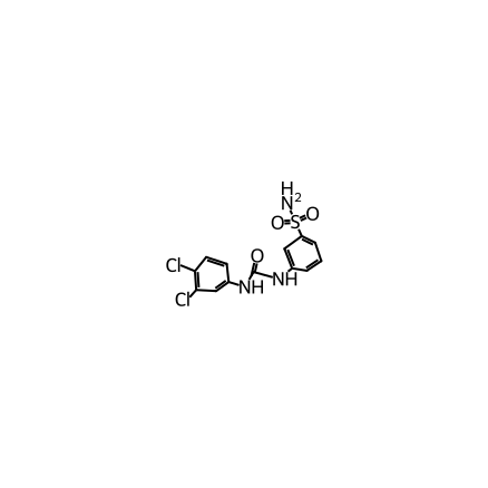 NS(=O)(=O)c1cccc(NC(=O)Nc2ccc(Cl)c(Cl)c2)c1